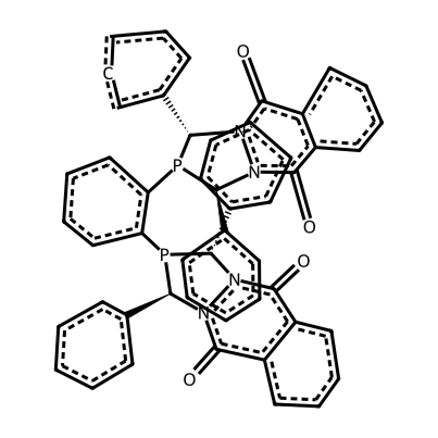 O=c1c2ccccc2c(=O)n2n1[C@@H](c1ccccc1)P(c1ccccc1P1[C@H](c3ccccc3)n3c(=O)c4ccccc4c(=O)n3[C@H]1c1ccccc1)[C@@H]2c1ccccc1